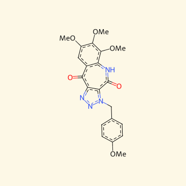 COc1ccc(Cn2nnc3c(=O)c4cc(OC)c(OC)c(OC)c4[nH]c(=O)c32)cc1